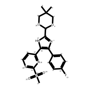 CC1(C)COC(c2nc(-c3ccc(F)cc3)c(-c3ccnc(S(C)(=O)=O)n3)[nH]2)OC1